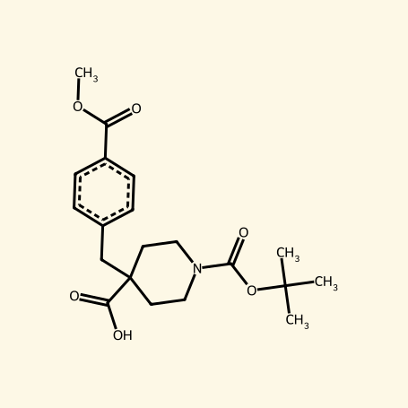 COC(=O)c1ccc(CC2(C(=O)O)CCN(C(=O)OC(C)(C)C)CC2)cc1